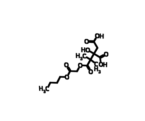 CCCCOC(=O)COC(=O)C(C)(C)C(O)(CC(=O)O)C(=O)O